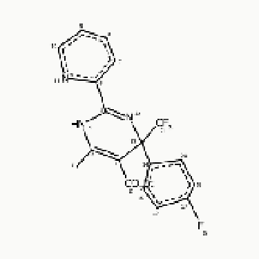 CCOC(=O)C1=C(C)NC(c2ccccn2)=NC1(c1ccc(F)cc1)C(F)(F)F